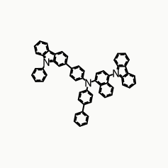 c1ccc(-c2ccc(N(c3ccc(-c4ccc5c6ccccc6n(-c6ccccc6)c5c4)cc3)c3ccc(-n4c5ccccc5c5ccccc54)c4ccccc34)cc2)cc1